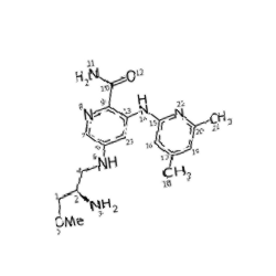 COC[C@H](N)CNc1cnc(C(N)=O)c(Nc2cc(C)cc(C)n2)c1